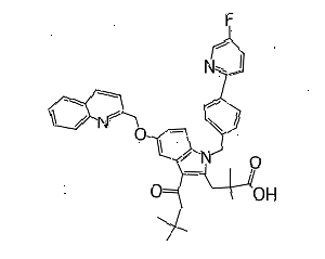 CC(C)(C)CC(=O)c1c(CC(C)(C)C(=O)O)n(Cc2ccc(-c3ccc(F)cn3)cc2)c2ccc(OCc3ccc4ccccc4n3)cc12